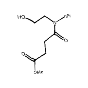 CCCN(CCO)C(=O)CCC(=O)OC